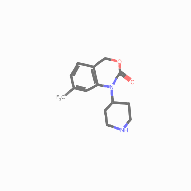 O=C1OCc2ccc(C(F)(F)F)cc2N1C1CCNCC1